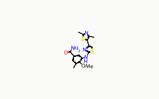 COc1c(C)cc(C(N)=O)cc1Nc1nc(-c2sc(C)nc2C)cs1